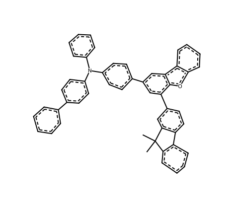 CC1(C)c2ccccc2-c2ccc(-c3cc(-c4ccc(N(c5ccccc5)c5ccc(-c6ccccc6)cc5)cc4)cc4c3oc3ccccc34)cc21